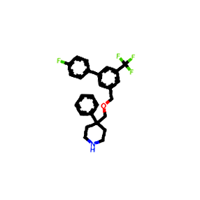 Fc1ccc(-c2cc(COCC3(c4ccccc4)CCNCC3)cc(C(F)(F)F)c2)cc1